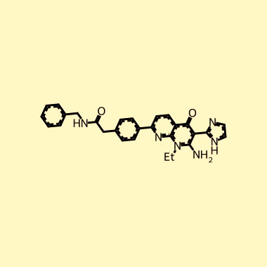 CCn1c(N)c(-c2ncc[nH]2)c(=O)c2ccc(-c3ccc(CC(=O)NCc4ccccc4)cc3)nc21